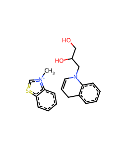 C[n+]1csc2ccccc21.OCC(O)CN1C=CCc2ccccc21